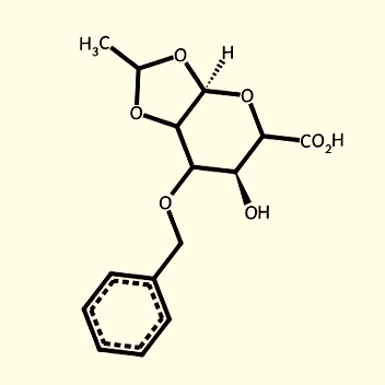 CC1OC2C(OCc3ccccc3)[C@H](O)C(C(=O)O)O[C@@H]2O1